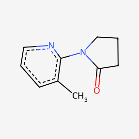 Cc1cccnc1N1CCCC1=O